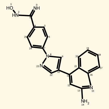 N=C(NO)c1ccc(-n2cc(-c3cc(N)nc4ccccc34)cn2)cc1